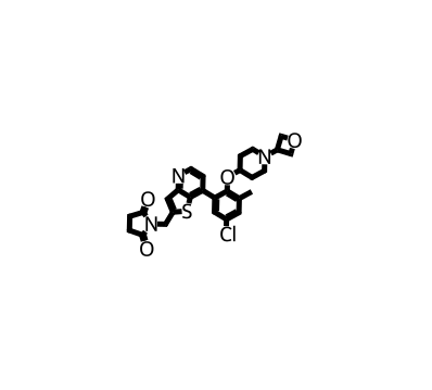 Cc1cc(Cl)cc(-c2ccnc3cc(CN4C(=O)CCC4=O)sc23)c1OC1CCN(C2COC2)CC1